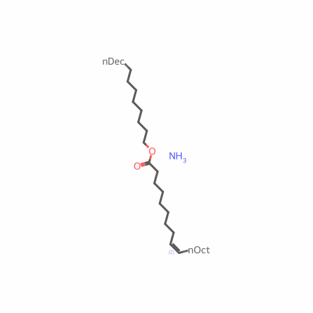 CCCCCCCC/C=C\CCCCCCCC(=O)OCCCCCCCCCCCCCCCCCC.N